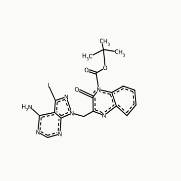 CC(C)(C)OC(=O)n1c(=O)c(Cn2nc(I)c3c(N)ncnc32)nc2ccccc21